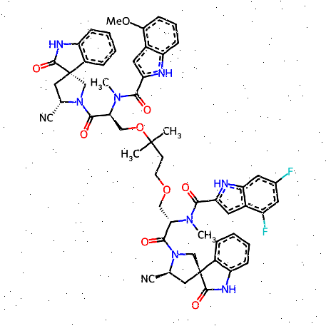 COc1cccc2[nH]c(C(=O)N(C)[C@@H](COC(C)(C)CCOC[C@@H](C(=O)N3C[C@]4(C[C@H]3C#N)C(=O)Nc3ccccc34)N(C)C(=O)c3cc4c(F)cc(F)cc4[nH]3)C(=O)N3C[C@]4(C[C@H]3C#N)C(=O)Nc3ccccc34)cc12